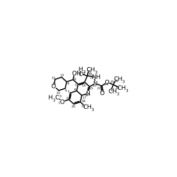 COC1=CC2C(C(O)C3CCOCC3)=C3C(=NC2C(C)=C1)N(C(=O)OC(C)(C)C)NC3(C)C